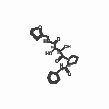 O=C(NCc1ccco1)[C@H](O)[C@@H](O)C(=O)N1CCC[C@H]1C(=O)Nc1ccccc1